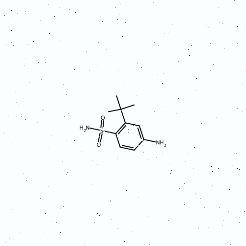 CC(C)(C)c1cc(N)ccc1S(N)(=O)=O